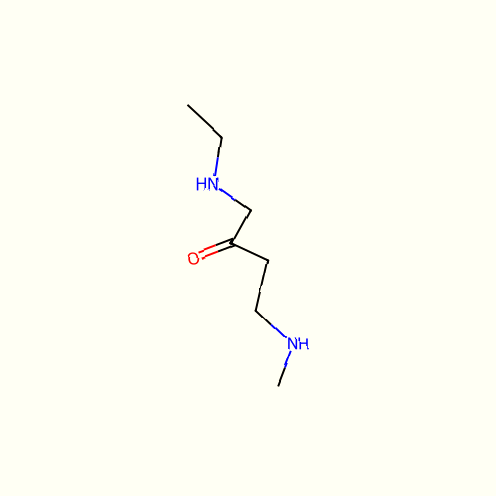 CCNCC(=O)CCNC